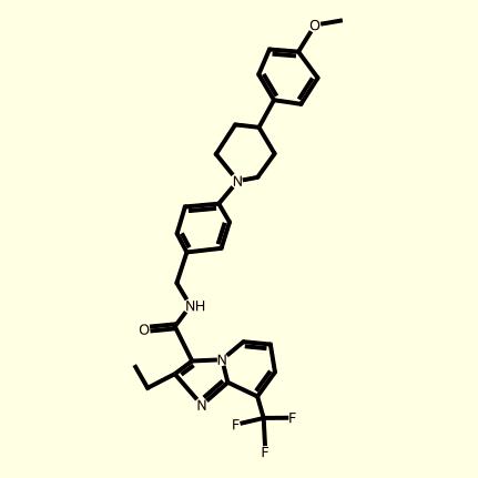 CCc1nc2c(C(F)(F)F)cccn2c1C(=O)NCc1ccc(N2CCC(c3ccc(OC)cc3)CC2)cc1